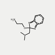 CN(C)CC1(OCCN)N=c2ccccc2=N1